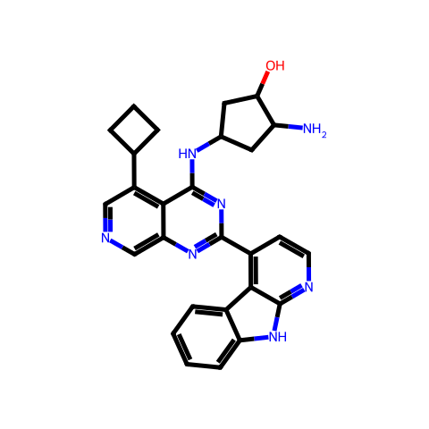 NC1CC(Nc2nc(-c3ccnc4[nH]c5ccccc5c34)nc3cncc(C4CCC4)c23)CC1O